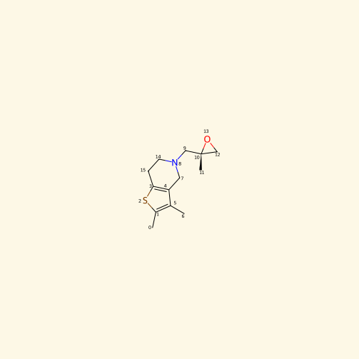 Cc1sc2c(c1C)CN(C[C@@]1(C)CO1)CC2